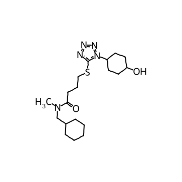 CN(CC1CCCCC1)C(=O)CCCSc1nnnn1C1CCC(O)CC1